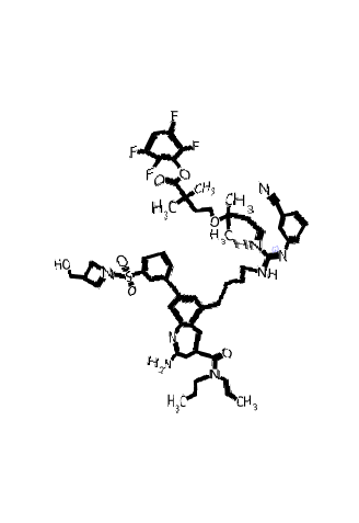 CCCN(CCC)C(=O)C1=Cc2c(CCCCN/C(=N/c3cccc(C#N)c3)NCCC(C)(C)OCCC(C)(C)C(=O)Oc3c(F)c(F)cc(F)c3F)cc(-c3cccc(S(=O)(=O)N4CC(CO)C4)c3)cc2N=C(N)C1